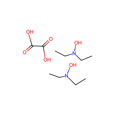 CCN(O)CC.CCN(O)CC.O=C(O)C(=O)O